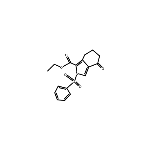 CCOC(=O)c1c2c(cn1S(=O)(=O)c1ccccc1)C(=O)CCC2